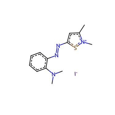 Cc1cc(N=Nc2ccccc2N(C)C)s[n+]1C.[I-]